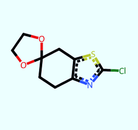 Clc1nc2c(s1)CC1(CC2)OCCO1